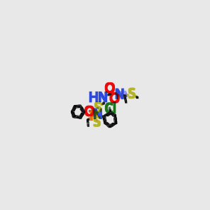 CCP(=S)(Oc1ccccc1)N(SCNC(=O)O/N=C(\C)SC)c1ccccc1Cl